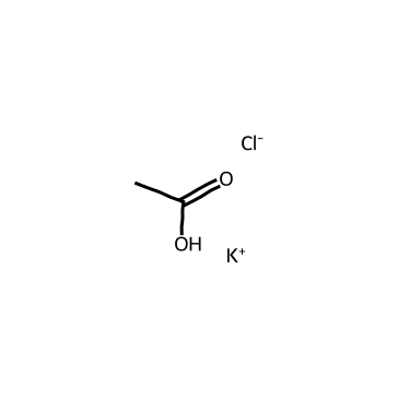 CC(=O)O.[Cl-].[K+]